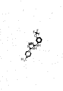 CN1CCN(C(=NN)NC(=N)Nc2cccc(OC(F)(F)F)c2)CC1